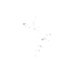 CC[C@H](C)[C@@H]([C@@H](CC(=O)N1CCC[C@H]1[C@H](OC)[C@@H](C)C(=O)N[C@H](C)Cc1ccccc1)OC)N(C)C(=O)[C@@H](NC(=O)[C@H](C(C)C)N(C)C(=O)OCc1ccc(NC(=O)[C@H](CCCNC(N)=O)NC(=O)[C@@H](NNC(=O)C(C)C2C=CC(C)(N)CC2)C(C)C)cc1)C(C)C